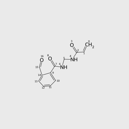 C=CC(=O)NCNC(=O)c1ccccc1C=O